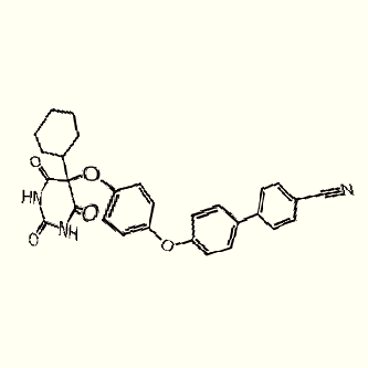 N#Cc1ccc(-c2ccc(Oc3ccc(OC4(C5CCCCC5)C(=O)NC(=O)NC4=O)cc3)cc2)cc1